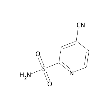 N#Cc1ccnc(S(N)(=O)=O)c1